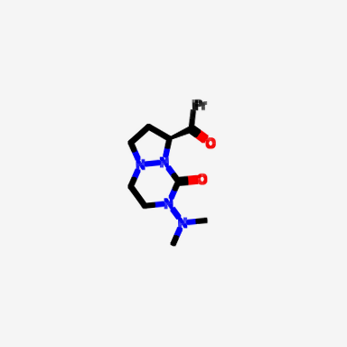 CC(C)C(=O)[C@@H]1CCN2CCN(N(C)C)C(=O)N12